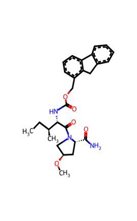 CC[C@H](C)[C@H](NC(=O)OCc1cccc2c1Cc1ccccc1-2)C(=O)N1C[C@H](OC)C[C@H]1C(N)=O